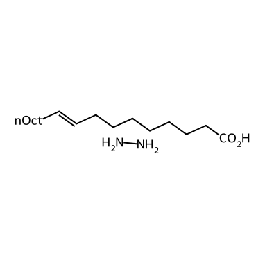 CCCCCCCCC=CCCCCCCCC(=O)O.NN